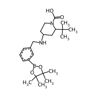 CC(C)(C)C1CC(NCc2cccc(B3OC(C)(C)C(C)(C)O3)c2)CCN1C(=O)O